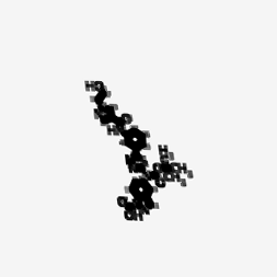 CC(C)(C)OC(=O)N(c1ccc2c(cnn2C(=O)O)c1)c1nnc(-c2cccc(NC(=O)c3cnn(CCO)c3)c2)s1